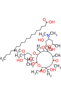 CCCCCCCCCCCCCCCCCC(=O)O.CC[C@H]1OC(=O)[C@H](C)[C@@H](O[C@H]2C[C@@](C)(OC)[C@@H](O)[C@H](C)O2)[C@@H](C)[C@@H](O[C@@H]2O[C@H](C)C[C@H](N(C)C)[C@H]2O)[C@](C)(O)C[C@@H](C)C(=O)[C@H](C)[C@H](O)[C@]1(C)O